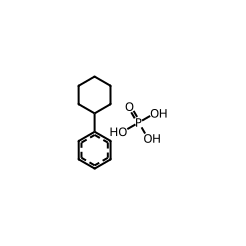 O=P(O)(O)O.c1ccc(C2CCCCC2)cc1